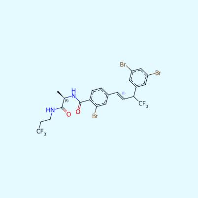 C[C@@H](NC(=O)c1ccc(/C=C/C(c2cc(Br)cc(Br)c2)C(F)(F)F)cc1Br)C(=O)NCCC(F)(F)F